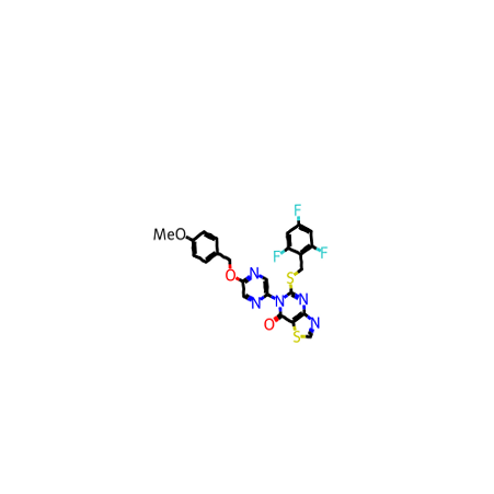 COc1ccc(COc2cnc(-n3c(SCc4c(F)cc(F)cc4F)nc4ncsc4c3=O)cn2)cc1